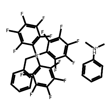 C[NH+](C)c1ccccc1.Fc1c(F)c(F)c([B-](Cc2ccccc2)(c2c(F)c(F)c(F)c(F)c2F)c2c(F)c(F)c(F)c(F)c2F)c(F)c1F